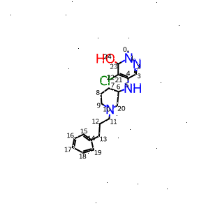 CN1N=CC(NC2CCCN(CCCc3ccccc3)C2)=C(Cl)C1O